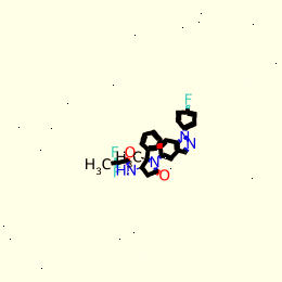 CC(F)(F)C(=O)N[C@H]1CC(=O)N(c2ccc3c(cnn3-c3ccc(F)cc3)c2)[C@]1(C)c1ccccc1